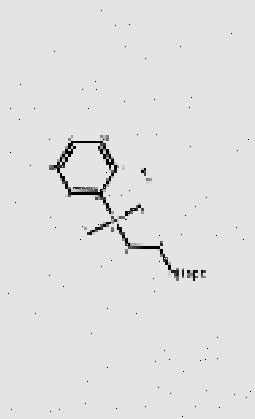 CCCCCCCCC[N+](C)(C)c1ccccc1.[Br-]